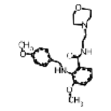 COc1ccc(CNc2c(OC)cccc2C(=O)NCCN2CCOCC2)cc1